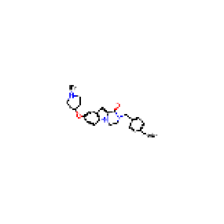 COc1ccc(CN2CCn3c(cc4cc(OC5CCN(C(C)C)CC5)ccc43)C2=O)cc1